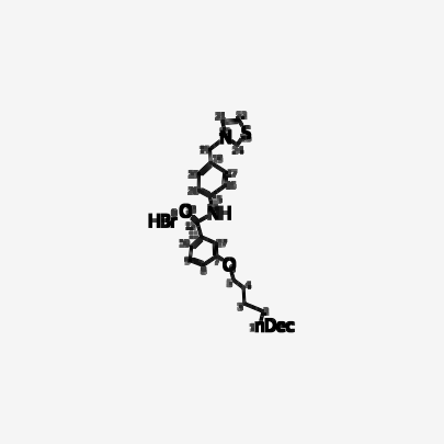 Br.CCCCCCCCCCCCCCOc1cccc(C(=O)Nc2ccc(CN3C=CSC3)cc2)c1